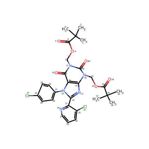 CC(C)(C)C(=O)OCn1c(=O)c2c(nc(-c3ncccc3Cl)n2-c2ccc(Cl)cc2)n(COC(=O)C(C)(C)C)c1=O